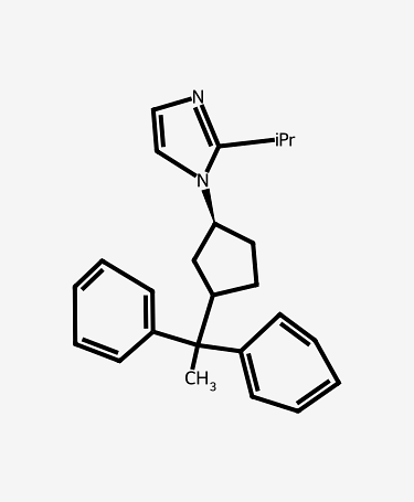 CC(C)c1nccn1[C@H]1CCC(C(C)(c2ccccc2)c2ccccc2)C1